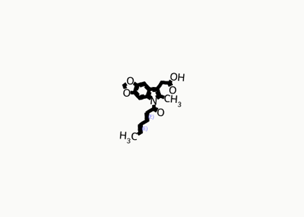 C/C=C/C=C/C(=O)n1c(C)c(CC(=O)O)c2cc3c(cc21)OCO3